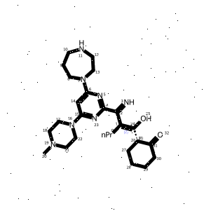 CCC/C(C(=N)c1nc(N2CCCNCC2)cc(N2CCN(C)CC2)n1)=C(/O)[C@H]1CCCCC1=O